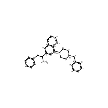 NC(Cc1ccccc1)c1cc(N2CCN(Cc3ccccc3)CC2)c2ncccc2c1